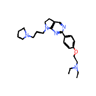 CCN(CC)CCOc1ccc(-c2ncc3c(n2)N(CCCN2CCCC2)CC3)cc1